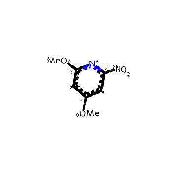 COc1cc(OC)nc([N+](=O)[O-])c1